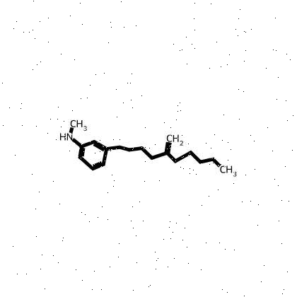 C=C(CCCCC)CCCCc1cccc(NC)c1